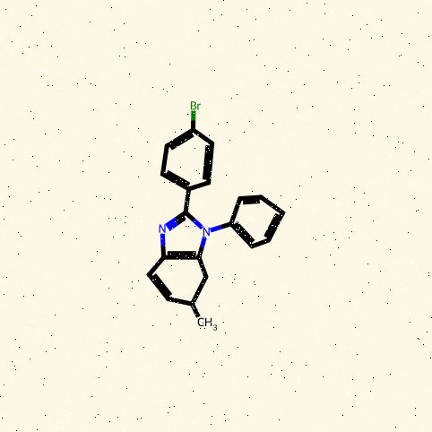 CC1C=Cc2nc(-c3ccc(Br)cc3)n(-c3ccccc3)c2C1